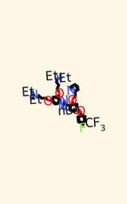 CCCCn1c(-c2ccc(Oc3ccc(F)c(C(F)(F)F)c3)cc2OCc2ccccn2)nc2c(OCCCN(CC)CC)cc(OCCCN(CC)CC)cc21